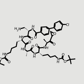 C[C@H](NC(=O)[C@H](CCCCNC(=O)OC(C)(C)C)NC(=O)[C@H](CN)NC(=O)c1ccc(-c2ccc(Cl)cc2)cc1)C(=O)N[C@@H](CCCCNC(=O)OC(C)(C)C)C(=O)N[C@@H](C)C(=O)C1CO1